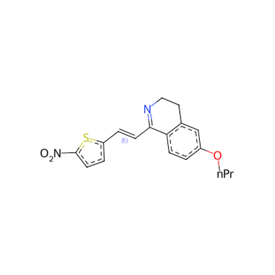 CCCOc1ccc2c(c1)CCN=C2/C=C/c1ccc([N+](=O)[O-])s1